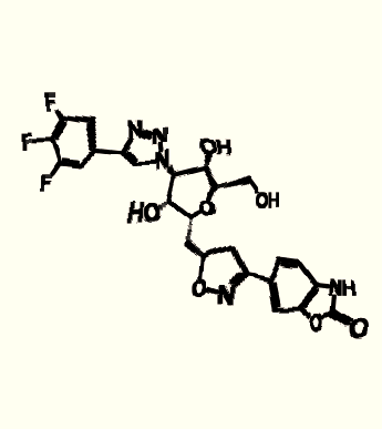 O=c1[nH]c2ccc(C3=NO[C@@H](C[C@H]4O[C@H](CO)[C@H](O)[C@H](n5cc(-c6cc(F)c(F)c(F)c6)nn5)[C@H]4O)C3)cc2o1